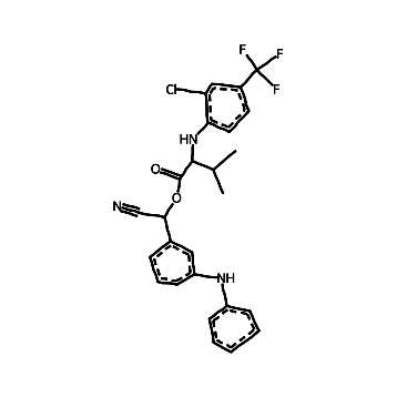 CC(C)C(Nc1ccc(C(F)(F)F)cc1Cl)C(=O)OC(C#N)c1cccc(Nc2ccccc2)c1